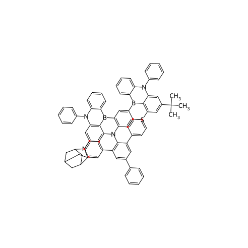 CC(C)(C)c1cc2c3c(c1)N(c1ccccc1)c1ccccc1B3c1cc3c(cc1S2)N(c1c(-c2ccccc2)cc(-c2ccccc2)cc1-c1ccccc1)c1cc(N2C4CC5CC(C4)C2C5)cc2c1B3c1ccccc1N2c1ccccc1